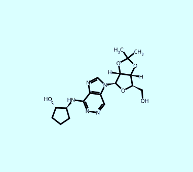 CC1(C)O[C@@H]2[C@H](O1)[C@@H](CO)O[C@H]2n1cnc2c(N[C@H]3CCC[C@@H]3O)nncc21